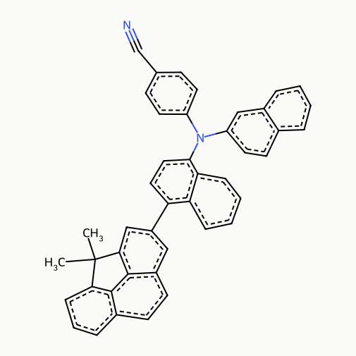 CC1(C)c2cccc3ccc4cc(-c5ccc(N(c6ccc(C#N)cc6)c6ccc7ccccc7c6)c6ccccc56)cc1c4c23